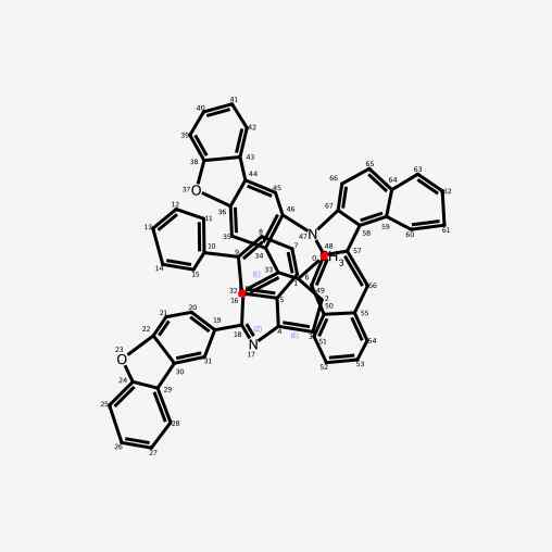 CC1C/C=C(c2cccc(-c3ccccc3)c2)/N=C(c2ccc3oc4ccccc4c3c2)\N=C/1c1cc2oc3ccccc3c2cc1-n1c2cc3ccccc3cc2c2c3ccccc3ccc21